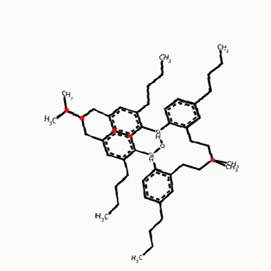 CCCCc1ccc([SiH](O[SiH](c2ccc(CCCC)cc2CCCC)c2ccc(CCCC)cc2CCCC)c2ccc(CCCC)cc2CCCC)c(CCCC)c1